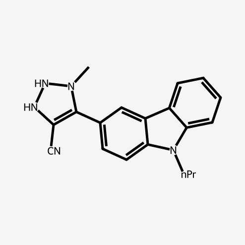 CCCn1c2ccccc2c2cc(C3=C(C#N)NNN3C)ccc21